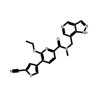 CCOc1nc(C(=O)N(C)Cc2cncc3cn[nH]c23)ccc1-c1csc(C#N)c1